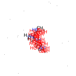 CC(=O)N[C@H]1[C@H](O[C@@H]2[C@H](O[C@]3(C(=O)O)C[C@H](O)[C@@H](NC(C)=O)[C@H]([C@H](O)[C@@H](CO)O[C@]4(C(=O)O)C[C@H](O)[C@@H](NC(C)=O)[C@H]([C@H](O)[C@@H](CO)O[C@]5(C(=O)O)C[C@H](O)[C@@H](NC(C)=O)[C@H]([C@H](O)[C@H](O)CO)O5)O4)O3)[C@@H](O)[C@H](O)O[C@@H]2CO)O[C@H](CO)[C@H](O)[C@@H]1O[C@@H]1O[C@H](CO)[C@H](O)[C@H](O)[C@H]1O